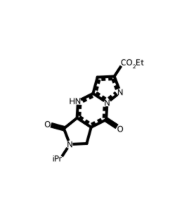 CCOC(=O)c1cc2[nH]c3c(c(=O)n2n1)CN(C(C)C)C3=O